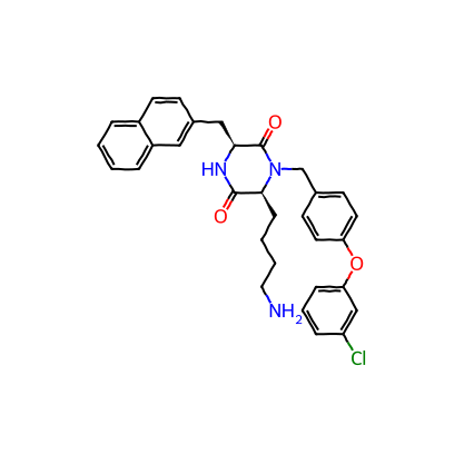 NCCCC[C@H]1C(=O)N[C@@H](Cc2ccc3ccccc3c2)C(=O)N1Cc1ccc(Oc2cccc(Cl)c2)cc1